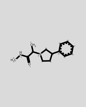 CNC(=O)C(C)N1CCC(c2ccccc2)C1